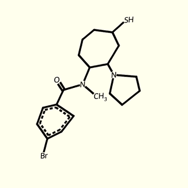 CN(C(=O)c1ccc(Br)cc1)C1CCCC(S)CC1N1CCCC1